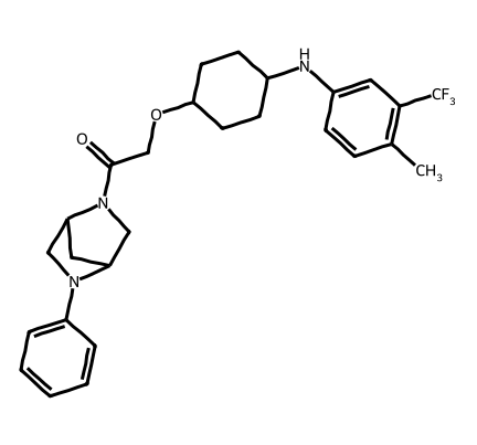 Cc1ccc(NC2CCC(OCC(=O)N3CC4CC3CN4c3ccccc3)CC2)cc1C(F)(F)F